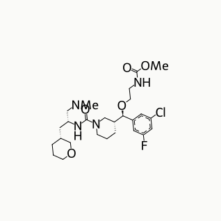 CNC[C@@H](C[C@H]1CCCOC1)NC(=O)N1CCC[C@@H]([C@@H](OCCNC(=O)OC)c2cc(F)cc(Cl)c2)C1